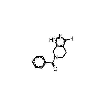 O=C(c1ccccc1)N1CCc2c(I)n[nH]c2C1